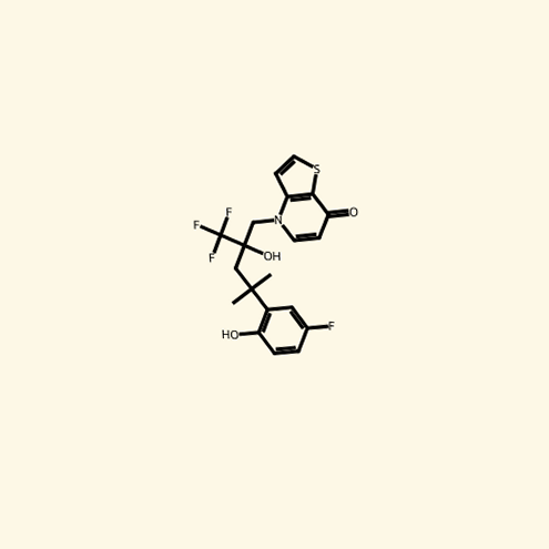 CC(C)(CC(O)(Cn1ccc(=O)c2sccc21)C(F)(F)F)c1cc(F)ccc1O